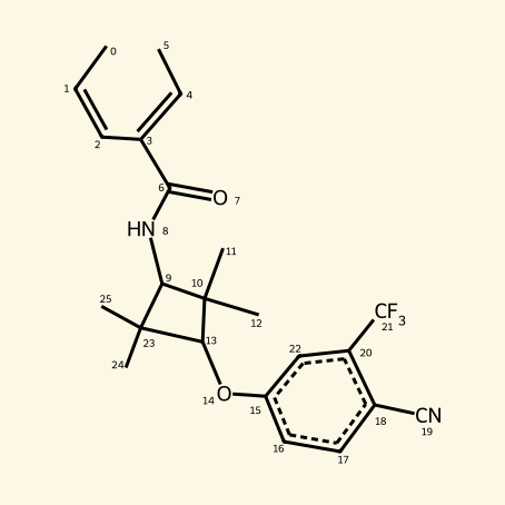 C/C=C\C(=C/C)C(=O)NC1C(C)(C)C(Oc2ccc(C#N)c(C(F)(F)F)c2)C1(C)C